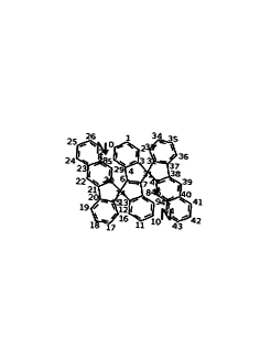 c1ccc2c(c1)C1=C(c3ccccc3C13c1ccccc1-c1cc4cccnc4cc13)C21c2ccccc2-c2cc3cccnc3cc21